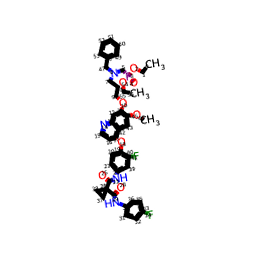 CCOP(=O)(CN(CCCOc1cc2nccc(Oc3ccc(NC(=O)C4(C(=O)Nc5ccc(F)cc5)CC4)cc3F)c2cc1OC)Cc1ccccc1)OCC